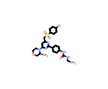 CCNC(=O)Nc1ccc(-c2nc(CS(=O)(=O)c3ccc(Cl)cc3)cc(N3CCOC[C@@H]3C)n2)cc1